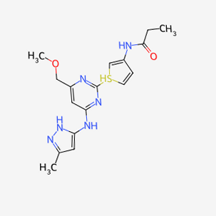 CCC(=O)NC1=C[SH](c2nc(COC)cc(Nc3cc(C)n[nH]3)n2)C=C1